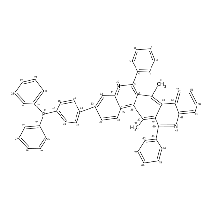 Cc1c2c(-c3ccccc3)nc3cc(-c4ccc(P(c5ccccc5)c5ccccc5)cc4)ccc3c2c(C)c2c(-c3ccccc3)nc3ccccc3c12